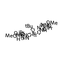 COC(=O)NC(C(=O)N1CCC[C@H]1c1nc2cc(C3CCC(c4ccc5[nH]c([C@@H]6CCCN6C(=O)[C@@H](NC(=O)OC)C(C)C)nc5c4)N3c3ccc(C(C)(C)C)cc3)ccc2[nH]1)C(C)C